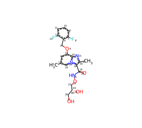 Cc1cc(OCc2c(F)cccc2F)c2nc(C)c(C(=O)NOC[C@H](O)CO)n2c1